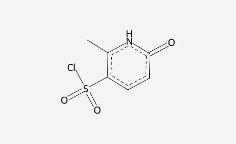 Cc1[nH]c(=O)ccc1S(=O)(=O)Cl